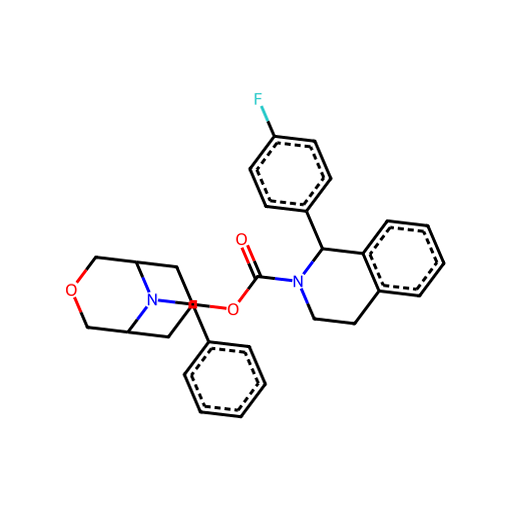 O=C(OC1CC2COCC(C1)N2Cc1ccccc1)N1CCc2ccccc2C1c1ccc(F)cc1